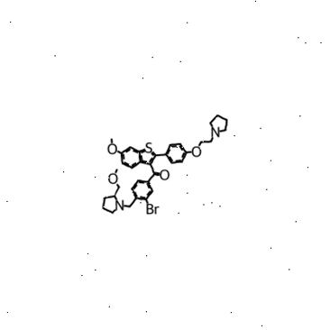 COC[C@@H]1CCCN1Cc1ccc(C(=O)c2c(-c3ccc(OCCN4CCCC4)cc3)sc3cc(OC)ccc23)cc1Br